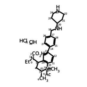 CCN(C(=O)O)C1C[C@H](C)[N@+](C)(C(C)=O)c2ccc(-c3ccc(CNC4CCNCC4)cc3)cc21.Cl.Cl